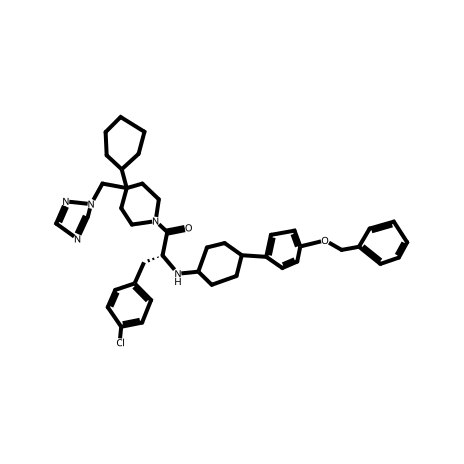 O=C([C@@H](Cc1ccc(Cl)cc1)NC1CCC(c2ccc(OCc3ccccc3)cc2)CC1)N1CCC(Cn2cncn2)(C2CCCCC2)CC1